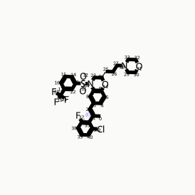 C/C(=C\c1ccc2c(c1)N(S(=O)(=O)c1cccc(C(F)(F)F)c1)C[C@H](CCCN1CCOCC1)O2)c1c(F)cccc1Cl